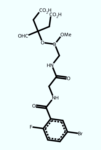 COB(CNC(=O)CNC(=O)c1cc(Br)ccc1F)OC(C=O)(CC(=O)O)CC(=O)O